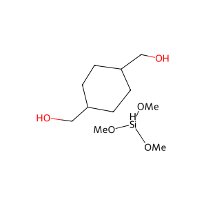 CO[SiH](OC)OC.OCC1CCC(CO)CC1